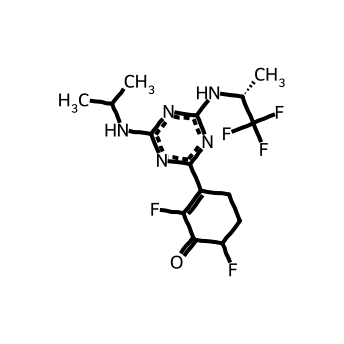 CC(C)Nc1nc(N[C@H](C)C(F)(F)F)nc(C2=C(F)C(=O)C(F)CC2)n1